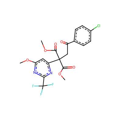 COC(=O)C(CC(=O)c1ccc(Cl)cc1)(C(=O)OC)c1cc(OC)nc(C(F)(F)F)n1